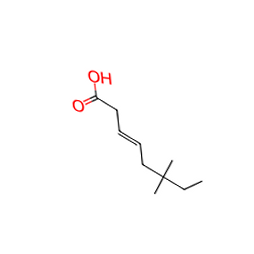 CCC(C)(C)CC=CCC(=O)O